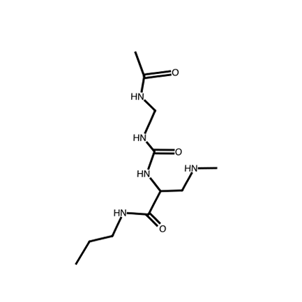 CCCNC(=O)C(CNC)NC(=O)NCNC(C)=O